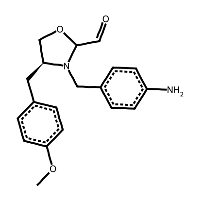 COc1ccc(C[C@H]2COC(C=O)N2Cc2ccc(N)cc2)cc1